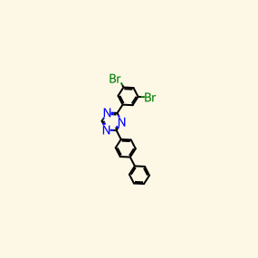 Brc1cc(Br)cc(-c2ncnc(-c3ccc(-c4ccccc4)cc3)n2)c1